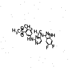 Cc1ccc(Nc2nccc(N(C)c3n[nH]c4cc(F)c(F)cc34)n2)cc1S(C)(=O)=O